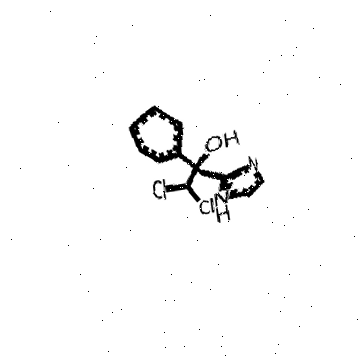 OC(c1ccccc1)(c1ncc[nH]1)C(Cl)Cl